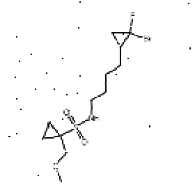 COCC1(S(=O)(=O)NCCCCC2CC2(F)Br)CC1